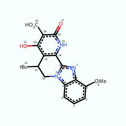 COc1cccc2c1nc1n2CC(C(C)(C)C)c2c-1[nH]c(=O)c(C(=O)O)c2O